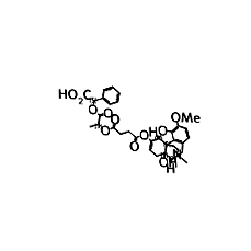 COc1ccc2c3c1O[C@H]1C(OC(=O)CCC(=O)O[C@@H](C)C(=O)O[C@H](C(=O)O)c4ccccc4)=CC[C@@]4(O)[C@@H](C2)N(C)CC[C@]314